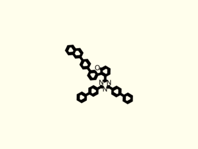 c1ccc(-c2ccc(-c3nc(-c4ccc(-c5ccccc5)cc4)nc(-c4cccc5oc6c(-c7ccc(-c8ccc9ccccc9c8)cc7)cccc6c45)n3)cc2)cc1